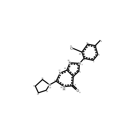 Cc1ccc(-n2cc3c(=O)[nH]c(N4CCCC4)nc3n2)c(Cl)c1